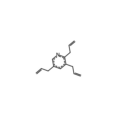 C=CCc1cnc(CC=C)c(CC=C)c1